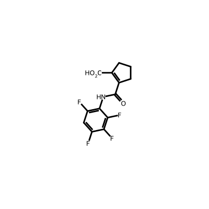 O=C(O)C1=C(C(=O)Nc2c(F)cc(F)c(F)c2F)CCC1